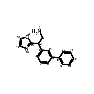 NCC(c1cccc(-c2ccccc2)c1)c1ncco1